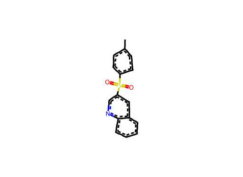 Cc1ccc(S(=O)(=O)c2cnc3ccccc3c2)cc1